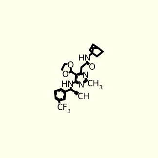 C#CC(Nc1nc(C)nc(CC(=O)NC23CCC(CC2)C3)c1C1OCCO1)c1cccc(C(F)(F)F)c1